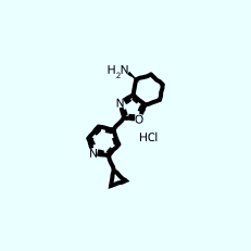 Cl.N[C@H]1CCCc2oc(-c3ccnc(C4CC4)c3)nc21